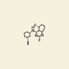 C#Cc1cccc(Nc2nc(F)nc3cccc(F)c23)c1